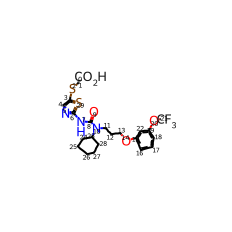 O=C(O)CSc1cnc(NC(=O)N(CCCOc2cccc(OC(F)(F)F)c2)C2CCCCC2)s1